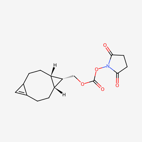 O=C(OC[C@@H]1[C@@H]2CCC3=CC3CC[C@@H]21)ON1C(=O)CCC1=O